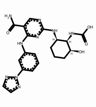 NC(=O)c1cnc(N[C@@H]2CCC[C@H](O)[C@@H]2NC(=O)O)nc1Nc1cccc(-n2nccn2)c1